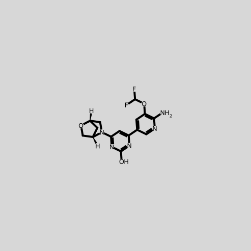 Nc1ncc(-c2cc(N3C[C@@H]4C[C@H]3CO4)nc(O)n2)cc1OC(F)F